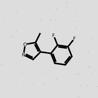 Cc1oncc1-c1cccc(F)c1F